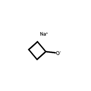 [Na+].[O-]C1CCC1